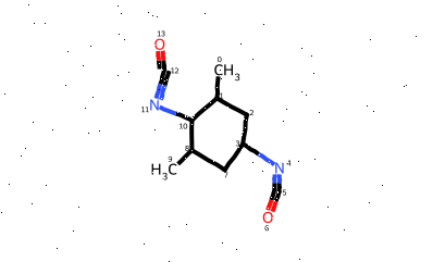 CC1CC(N=C=O)CC(C)C1N=C=O